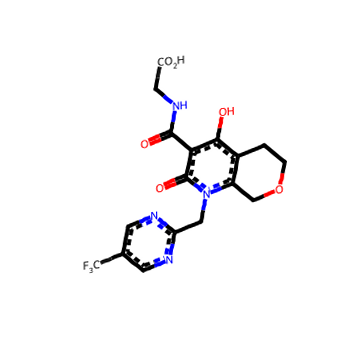 O=C(O)CNC(=O)c1c(O)c2c(n(Cc3ncc(C(F)(F)F)cn3)c1=O)COCC2